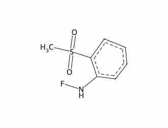 CS(=O)(=O)c1ccccc1NF